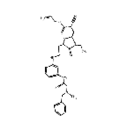 C=CCOC(=O)C(C#N)CC1SC(CCNc2cccc(NC(=O)CN(C)Cc3ccccc3)c2)C(=O)N1CC